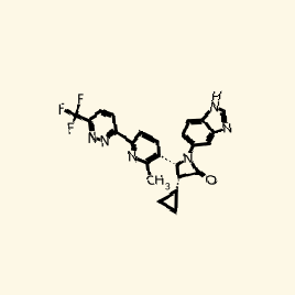 Cc1nc(-c2ccc(C(F)(F)F)nn2)ccc1[C@H]1[C@@H](C2CC2)C(=O)N1c1ccc2[nH]cnc2c1